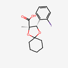 C[C@@]1(C(=O)O)OC2(CCCCC2)O[C@H]1c1ccccc1I